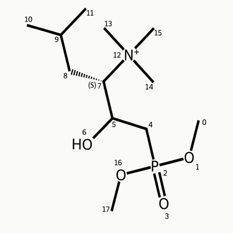 COP(=O)(CC(O)[C@H](CC(C)C)[N+](C)(C)C)OC